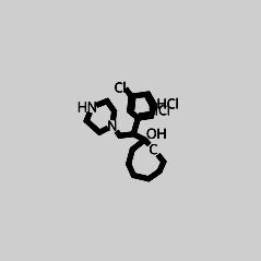 Cl.Cl.OC1(C(CN2CCNCC2)c2cccc(Cl)c2)CCCCCCC1